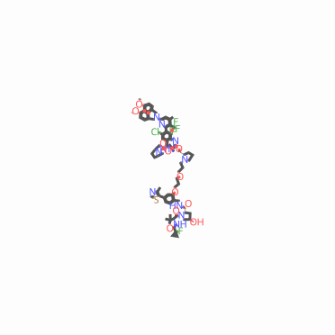 COc1ccc(CN(Cc2ccc(OC)cc2)c2cc(C)c(C(F)(F)F)c(-c3c(Cl)cc4c(N5CC6CCC(C5)N6C(=O)OC(C)(C)C)nc(OC[C@@H]5CCCN5CCCOCCCOc5cc(-c6scnc6C)ccc5CNC(=O)[C@@H]5C[C@@H](O)CN5C(=O)[C@H](NC(=O)C5(F)CC5)C(C)(C)C)nc4c3F)n2)cc1